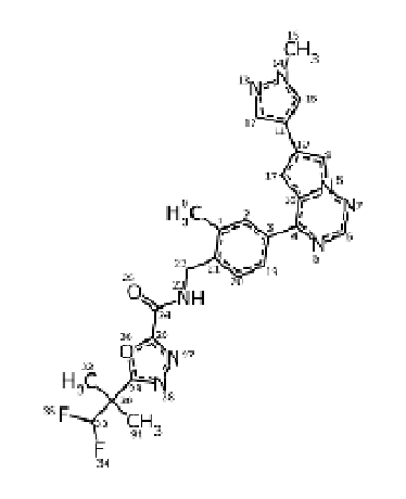 Cc1cc(-c2ncnn3cc(-c4cnn(C)c4)cc23)ccc1CNC(=O)c1nnc(C(C)(C)C(F)F)o1